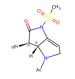 CCC[C@H]1C(=O)N(S(C)(=O)=O)C2=CCN(C(C)=O)[C@@H]21